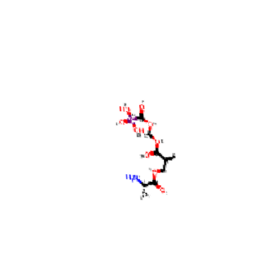 CC(COC(=O)[C@@H](N)C(C)C)C(=O)OCOC(=O)P(=O)(O)O